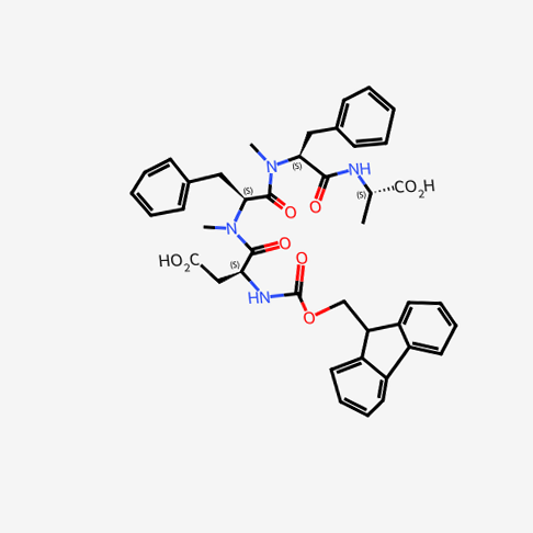 C[C@H](NC(=O)[C@H](Cc1ccccc1)N(C)C(=O)[C@H](Cc1ccccc1)N(C)C(=O)[C@H](CC(=O)O)NC(=O)OCC1c2ccccc2-c2ccccc21)C(=O)O